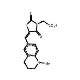 CCCCN1CCCc2cc(C=C3SC(=S)N(CC(=O)O)C3=O)ccc21